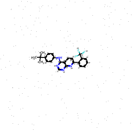 CC(C)(C)c1ccc(Nc2ncnc3nc(-c4ccccc4C(F)(F)F)ccc23)cc1